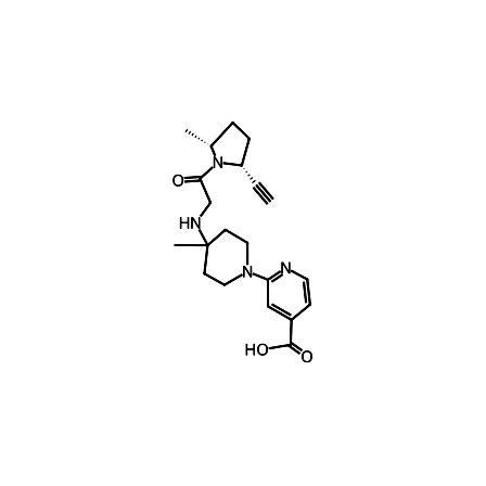 C#C[C@H]1CC[C@@H](C)N1C(=O)CNC1(C)CCN(c2cc(C(=O)O)ccn2)CC1